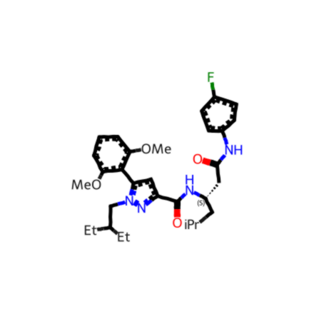 CCC(CC)Cn1nc(C(=O)N[C@H](CC(=O)Nc2ccc(F)cc2)CC(C)C)cc1-c1c(OC)cccc1OC